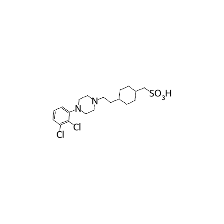 O=S(=O)(O)CC1CCC(CCN2CCN(c3cccc(Cl)c3Cl)CC2)CC1